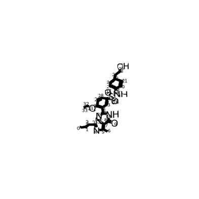 CCCc1nc(C)c2c(=O)[nH]c(-c3cc(S(=O)(=O)Nc4ccc(CCO)cc4)ccc3OCC)nn12